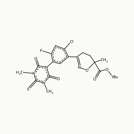 Cn1c(=S)n(C)c(=O)n(-c2cc(C3=NOC(C)(C(=O)OC(C)(C)C)CC3)c(Cl)cc2F)c1=O